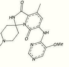 CCN1CCC2(CC1)NC(=O)c1c(C)cc(Nc3ncncc3OC)c(=O)n12